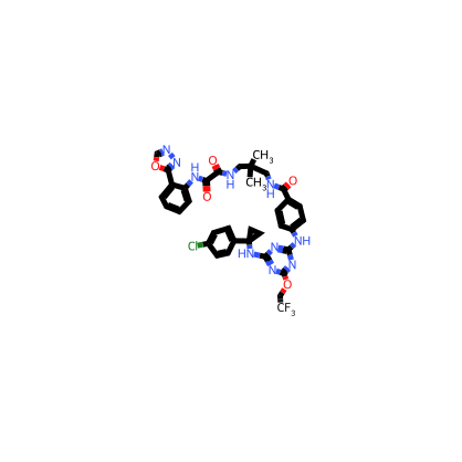 CC(C)(CNC(=O)C(=O)Nc1ccccc1-c1nnco1)CNC(=O)c1ccc(Nc2nc(NC3(c4ccc(Cl)cc4)CC3)nc(OCC(F)(F)F)n2)cc1